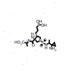 C/C(=N\C(=O)[C@]1(N)CN(S(=O)(=O)NC(C)C2(N)CC2)C[C@@H]1CCCB(O)O)C(=O)O